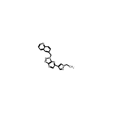 [CH2]Cn1cc(-c2cnc3nnn(Cc4ccc5ncccc5c4)c3n2)cn1